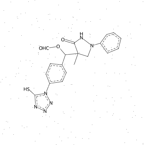 CC1(C(OC=O)c2ccc(-n3nnnc3S)cc2)CN(c2ccccc2)NC1=O